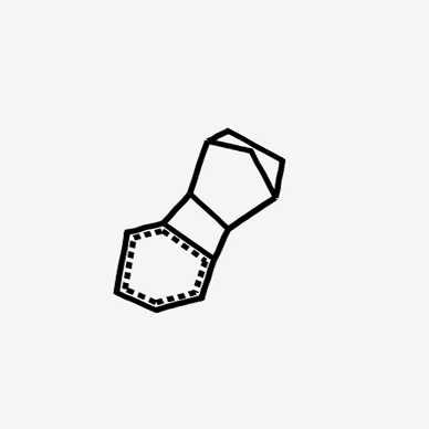 c1ccc2c(c1)C1C3CCC(C3)C21